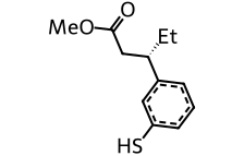 CC[C@@H](CC(=O)OC)c1cccc(S)c1